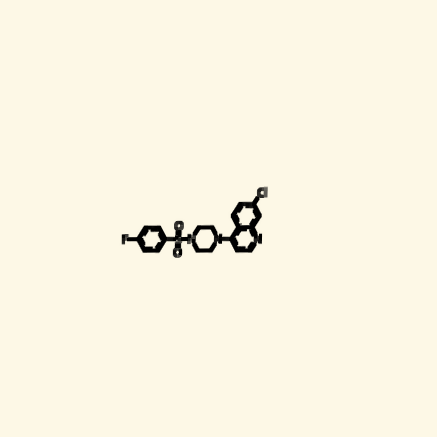 O=S(=O)(c1ccc(F)cc1)N1CCN(c2ccnc3cc(Cl)ccc23)CC1